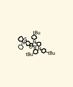 CC(C)(C)c1ccc(N2c3ccc(C(C)(C)C)cc3B3c4oc5cc6c(cc5c4N(c4ccc(C(C)(C)C)cc4)c4cccc2c43)Sc2ccccc2N6C2CCCCC2)cc1